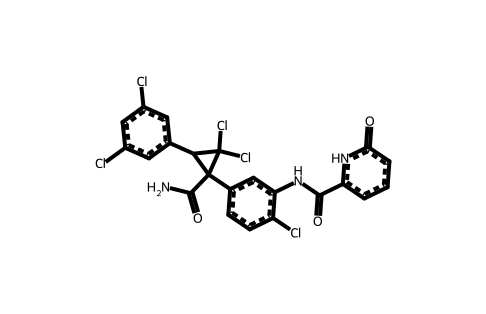 NC(=O)C1(c2ccc(Cl)c(NC(=O)c3cccc(=O)[nH]3)c2)C(c2cc(Cl)cc(Cl)c2)C1(Cl)Cl